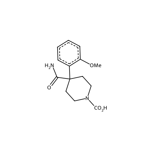 COc1ccccc1C1(C(N)=O)CCN(C(=O)O)CC1